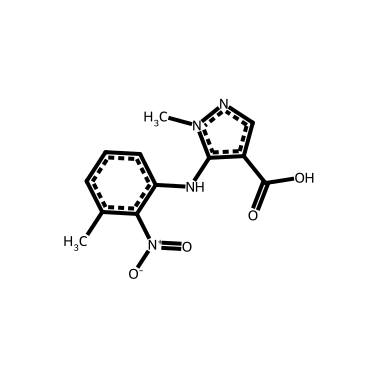 Cc1cccc(Nc2c(C(=O)O)cnn2C)c1[N+](=O)[O-]